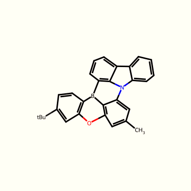 Cc1cc2c3c(c1)-n1c4ccccc4c4cccc(c41)B3c1ccc(C(C)(C)C)cc1O2